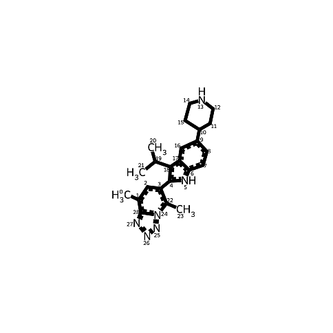 Cc1cc(-c2[nH]c3ccc(C4CCNCC4)cc3c2C(C)C)c(C)n2nnnc12